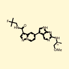 COC[C@H](C)Nc1ncc2c(-c3ccn4ncc(C(=O)NCC(C)(C)F)c4c3)c[nH]c2n1